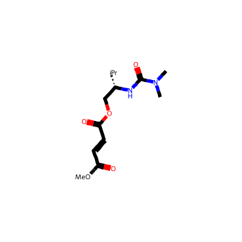 COC(=O)/C=C/C(=O)OC[C@@H](NC(=O)N(C)C)C(C)C